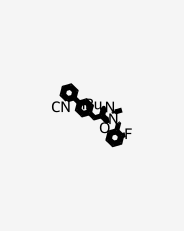 CCCCc1nc(C)n(Cc2ccccc2F)c(=O)c1Cc1ccc(-c2ccccc2C#N)cc1